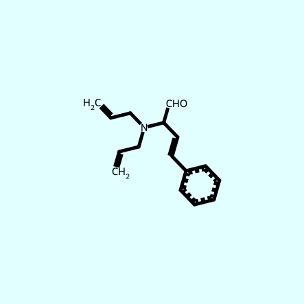 C=CCN(CC=C)C(C=O)C=Cc1ccccc1